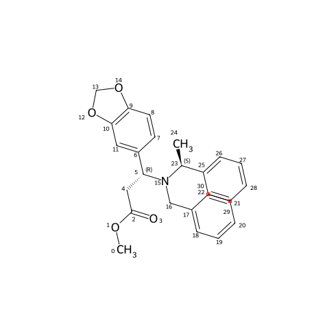 COC(=O)C[C@H](c1ccc2c(c1)OCO2)N(Cc1ccccc1)[C@@H](C)c1ccccc1